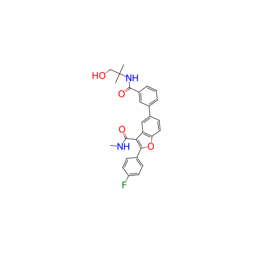 CNC(=O)c1c(-c2ccc(F)cc2)oc2ccc(-c3cccc(C(=O)NC(C)(C)CO)c3)cc12